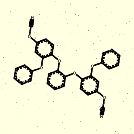 N#COc1ccc(Oc2ccccc2Oc2ccc(OC#N)cc2Oc2ccccc2)c(Oc2ccccc2)c1